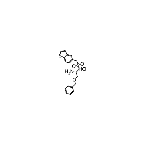 Cl.N[C@@H](COCc1ccccc1)CS(=O)(=O)Cc1ccc2sccc2c1